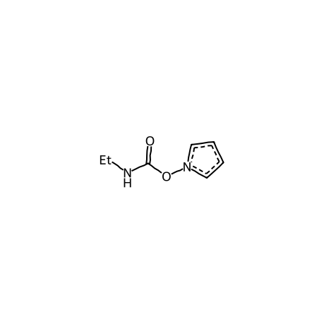 CCNC(=O)On1cccc1